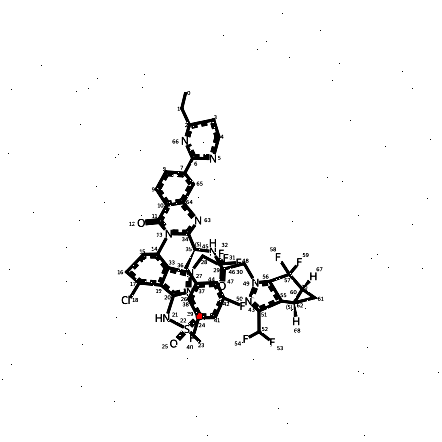 CCc1ccnc(-c2ccc3c(=O)n(-c4ccc(Cl)c5c(NS(C)(=O)=O)nn(CC(F)(F)F)c45)c([C@H](Cc4cc(F)cc(F)c4)NC(=O)Cn4nc(C(F)F)c5c4C(F)(F)[C@@H]4C[C@H]54)nc3c2)n1